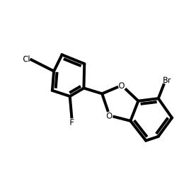 Fc1cc(Cl)ccc1C1Oc2cccc(Br)c2O1